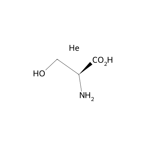 N[C@@H](CO)C(=O)O.[He]